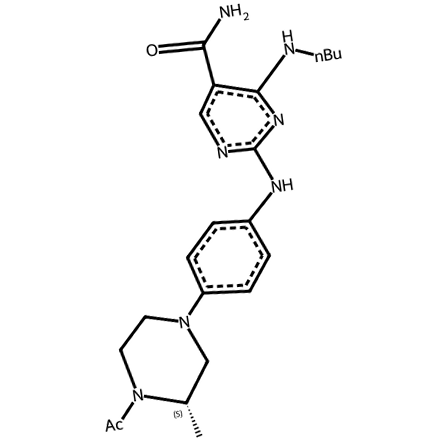 CCCCNc1nc(Nc2ccc(N3CCN(C(C)=O)[C@@H](C)C3)cc2)ncc1C(N)=O